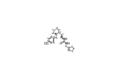 S=C(NCC1CCCO1)N/N=C/C1CCCCN1Cc1ccc(Cl)cc1